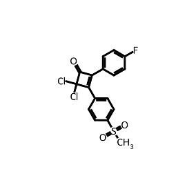 CS(=O)(=O)c1ccc(C2=C(c3ccc(F)cc3)C(=O)C2(Cl)Cl)cc1